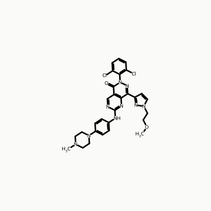 COCCn1ccc(-c2nn(-c3c(Cl)cccc3Cl)c(=O)c3cnc(Nc4ccc(N5CCN(C)CC5)cc4)nc23)n1